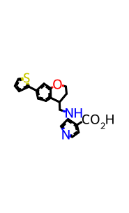 O=C(O)c1ccncc1NCC1CCOc2cc(-c3cccs3)ccc21